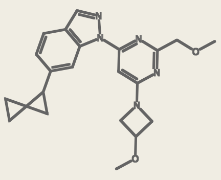 COCc1nc(N2CC(OC)C2)cc(-n2ncc3ccc(C4CC45CC5)cc32)n1